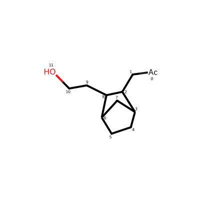 CC(=O)CC1C2CCC(C2)C1CCO